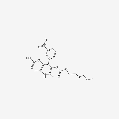 CCCOCCOC(=O)OC1=C(C)NC(C)=C(OC(=O)O)C1c1cccc([N+](=O)[O-])c1